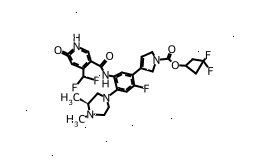 C[C@H]1CN(c2cc(F)c(C3=CCN(C(=O)OC4CC(F)(F)C4)C3)cc2NC(=O)c2c[nH]c(=O)cc2C(F)F)CCN1C